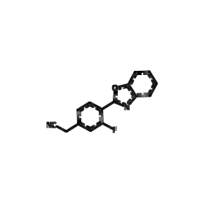 N#CCc1ccc(-c2nc3ccccc3o2)c(F)c1